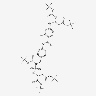 CC(C)(C)OC(=O)CC(NS(=O)(=O)N(Cc1ccc(OC(=O)c2ccc(NC(=NC(=O)OC(C)(C)C)NC(=O)OC(C)(C)C)cc2F)cc1)C(=O)OC(C)(C)C)C(=O)OC(C)(C)C